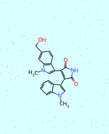 Cn1cc(C2=C(c3cn(C)c4cc(CO)ccc34)C(=O)NC2=O)c2ccccc21